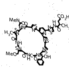 CNC(=O)C[C@@H]1NC(=O)c2csc(n2)-c2ccc(-c3nc(NC(=O)[C@H](C)CCC(=O)O)cs3)nc2-c2csc(n2)-c2csc(n2)[C@H]([C@@H](O)c2ccccc2)NC(=O)CNC(=O)c2nc(sc2COC)NC(=O)c2nc1sc2C